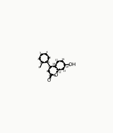 Cc1ccccc1-c1cc(=O)oc2cc(O)ccc12